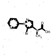 CN(C(=O)O)c1cnn(-c2cccnc2)c1Br